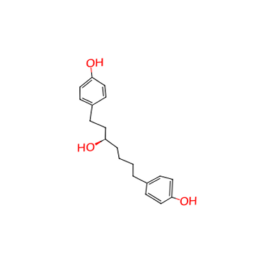 Oc1ccc(CCCC[C@@H](O)CCc2ccc(O)cc2)cc1